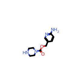 Nc1ccc(COC(=O)N2CCNCC2)cn1